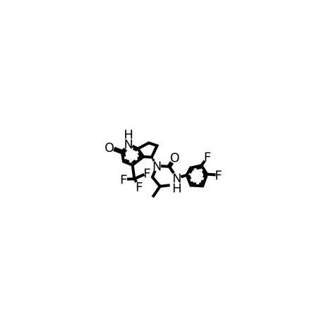 CC(C)CN(C(=O)Nc1ccc(F)c(F)c1)[C@@H]1CCc2[nH]c(=O)cc(C(F)(F)F)c21